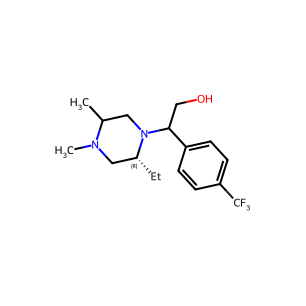 CC[C@@H]1CN(C)C(C)CN1C(CO)c1ccc(C(F)(F)F)cc1